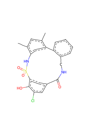 Cc1cc(C)c2cc1NS(=O)(=O)c1cc(cc(Cl)c1O)C(=O)NCc1ccccc1-2